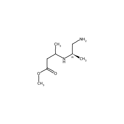 COC(=O)CC(C)N[C@H](C)CN